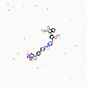 Cn1cc(-c2ccc(CN3CCN(C(=O)CN4CCC(c5ccc(NC6CCC(=O)NC6O)cc5)CC4)CC3)c(OC(F)(F)F)c2)c2ccccc2c1=O